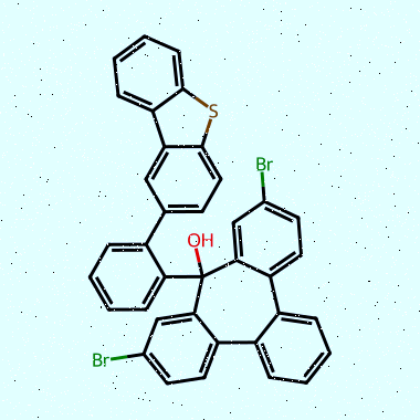 OC1(c2ccccc2-c2ccc3sc4ccccc4c3c2)c2cc(Br)ccc2-c2ccccc2-c2ccc(Br)cc21